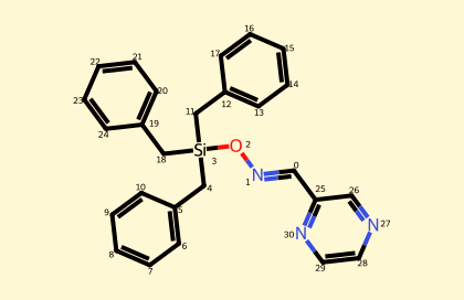 C(=NO[Si](Cc1ccccc1)(Cc1ccccc1)Cc1ccccc1)c1cnccn1